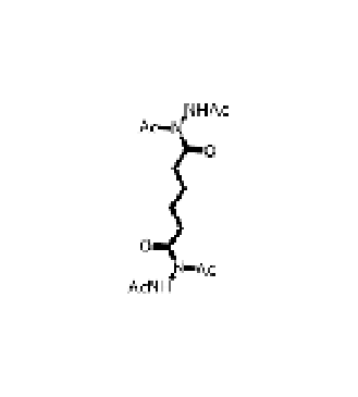 CC(=O)NN(C(C)=O)C(=O)CCCCC(=O)N(NC(C)=O)C(C)=O